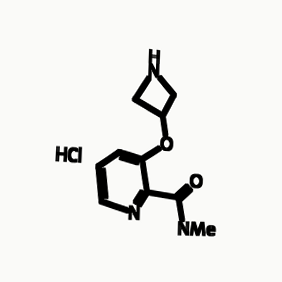 CNC(=O)c1ncccc1OC1CNC1.Cl